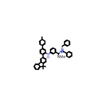 CNC(c1cccc(Nc2cc(C3=CCC(C)C=C3)ccc2-c2ccc3c(c2)-c2ccccc2C3(C)C)c1)N1C(c2ccccc2)[N@]1Cc1ccccc1